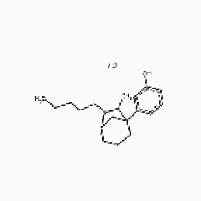 CCCCCN1C2CCCC(c3cccc(O)c3)(C2)C1C.Cl